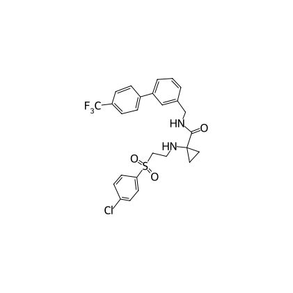 O=C(NCc1cccc(-c2ccc(C(F)(F)F)cc2)c1)C1(NCCS(=O)(=O)c2ccc(Cl)cc2)CC1